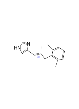 C/C(=C\c1c[nH]cn1)Cc1c(C)cccc1C